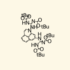 CC(C)(C)OC(=O)N=C(NC(=O)OC(C)(C)C)Nc1cc2c3c(cccc3c1)C=CN2NC(=NC(=O)OC(C)(C)C)NC(=O)OC(C)(C)C